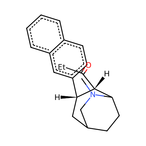 CCC(=O)[C@@H]1C2CCC(C[C@@H]1c1ccc3ccccc3c1)CN2C